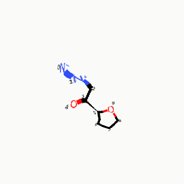 [N-]=[N+]=CC(=O)[C@@H]1CCCO1